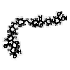 N#Cc1ccc(N2CCC(C(=O)Nc3ccc(CCC4CCN(CC5CCN(c6ccc7c(c6)C(=O)N(C6CCC(=O)NC6=O)C7=O)CC5)CC4)nn3)CC2)cc1C(F)(F)F